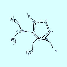 OB(O)c1c(F)ccc(F)c1O